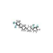 Cc1ccc(C2=CCC(c3ccc(Cc4cccc(F)c4F)cc3)CC2)c(F)c1F